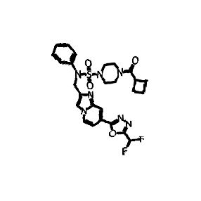 O=C(C1CCC1)N1CCN(S(=O)(=O)N(Cc2cn3ccc(-c4nnc(C(F)F)o4)cc3n2)c2ccccc2)CC1